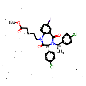 C[C@H](c1ccc(Cl)cc1)N1C(=O)c2cc(I)ccc2N(CCCCC(=O)OC(C)(C)C)C(=O)[C@H]1c1ccc(Cl)cc1